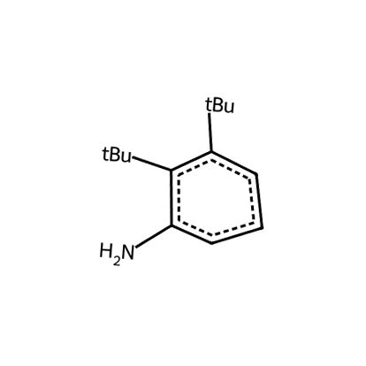 CC(C)(C)c1cccc(N)c1C(C)(C)C